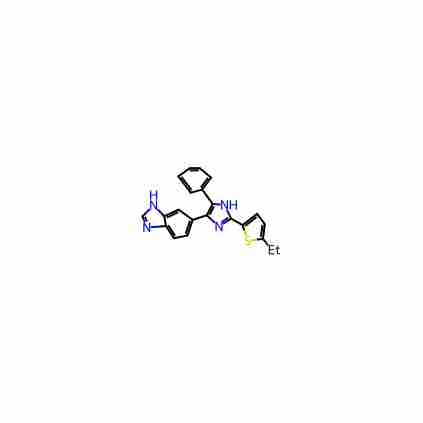 CCc1ccc(-c2nc(-c3ccc4nc[nH]c4c3)c(-c3ccccc3)[nH]2)s1